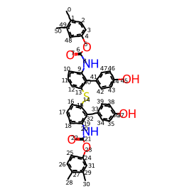 Cc1ccc(OC(=O)Nc2cccc(Sc3cccc(NC(=O)Oc4ccc(C)c(C)c4)c3-c3ccc(O)cc3)c2-c2ccc(O)cc2)cc1C